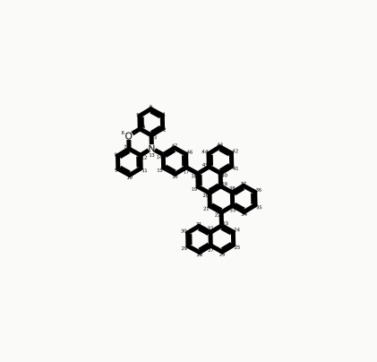 c1ccc2c(c1)Oc1ccccc1N2c1ccc(-c2cc3cc(-c4cccc5ccccc45)c4ccccc4c3c3ccccc23)cc1